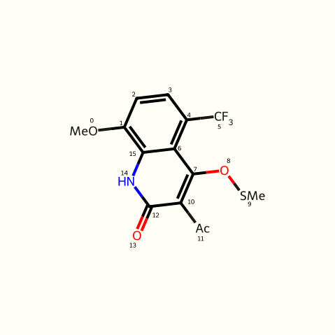 COc1ccc(C(F)(F)F)c2c(OSC)c(C(C)=O)c(=O)[nH]c12